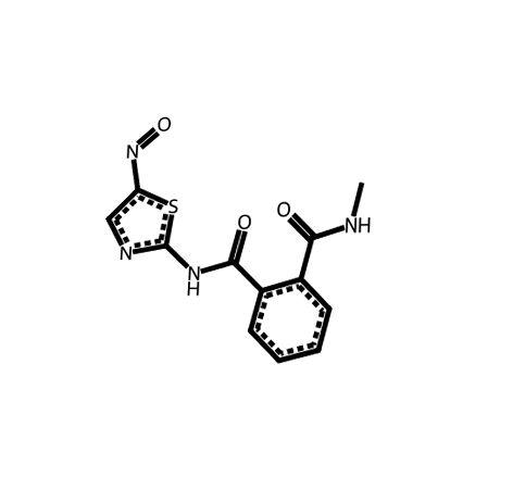 CNC(=O)c1ccccc1C(=O)Nc1ncc(N=O)s1